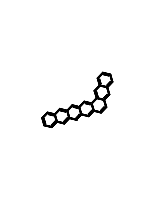 c1ccc2cc3cc4cc5c(ccc6cc7ccccc7cc65)cc4cc3cc2c1